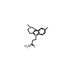 Cc1ccc2c(c1)c1c(n2CCC(N)=S)CCN(C)C1